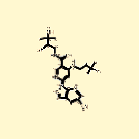 CC(C)(F)CCNc1cc(-n2ncc3cc(C#N)cnc32)ncc1C(=O)NCC(F)C(C)(C)O